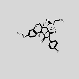 CCOC(=O)[C@@H]1[C@H]2COc3cc(OC)ccc3[C@H]2N2C(=O)N(c3ccc(F)cc3)C(=O)[C@]12C